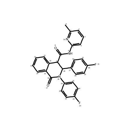 Cc1cccc(NC(=O)C2c3ccccc3C(=O)N(c3ccc(F)cc3)C2c2ccc(F)cc2)n1